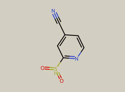 N#Cc1ccnc([SH](=O)=O)c1